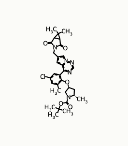 Cc1cc(Cl)cc(-c2ncnn3cc(CN4C(=O)C5C(C4=O)C5(C)C)cc23)c1O[C@H]1C[C@H](C)N(C(=O)OC(C)(C)C)C1